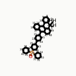 [2H]C([2H])([2H])C1(C)c2ccccc2-c2c3ccccc3c(-c3ccc(-c4ccc(P(=O)(c5ccccc5)c5ccccc5)cc4)cc3)c3cccc1c23